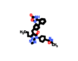 CCCc1c(Cc2ccc(-c3ccccc3-c3noc(=O)[nH]3)cc2)c(=O)n(C2CCC(c3nnc(C)o3)CC2)c2ncnn12